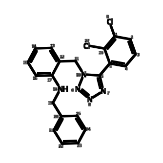 Clc1cccc(-c2nnnn2Cc2ccccc2NCc2ccccc2)c1Cl